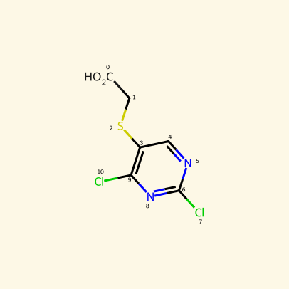 O=C(O)CSc1cnc(Cl)nc1Cl